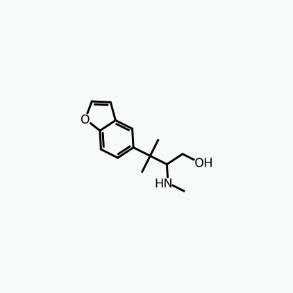 CNC(CO)C(C)(C)c1ccc2occc2c1